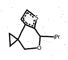 CC(C)C1OCC2(CC2)c2ccsc21